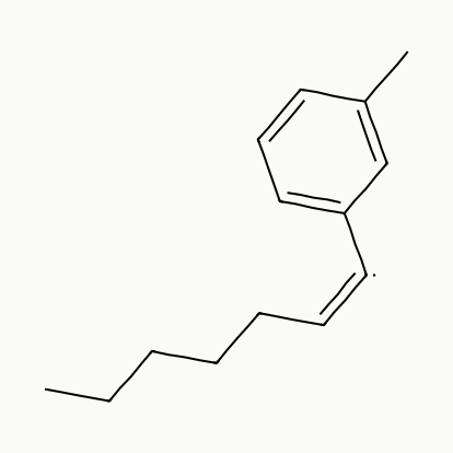 CCCCC/C=[C]\c1cccc(C)c1